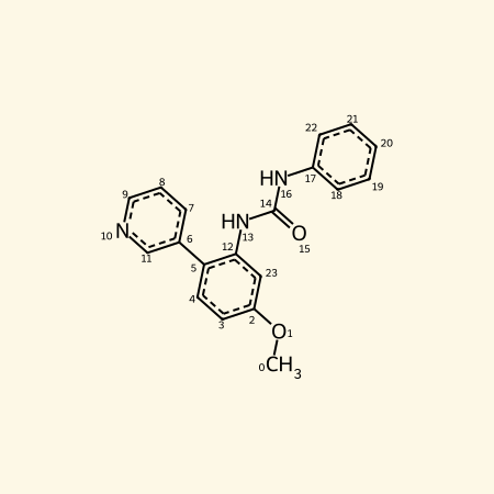 COc1ccc(-c2cccnc2)c(NC(=O)Nc2ccccc2)c1